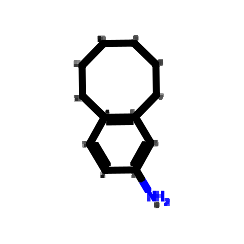 Nc1ccc2c(c1)CCCCCC2